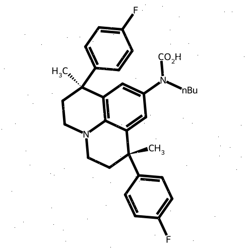 CCCCN(C(=O)O)c1cc2c3c(c1)[C@](C)(c1ccc(F)cc1)CCN3CC[C@@]2(C)c1ccc(F)cc1